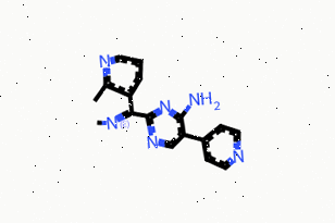 C/N=C(/c1ncc(-c2ccncc2)c(N)n1)c1cccnc1C